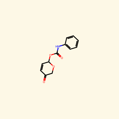 O=C1C=CC(OC(=O)Nc2ccccc2)OC1